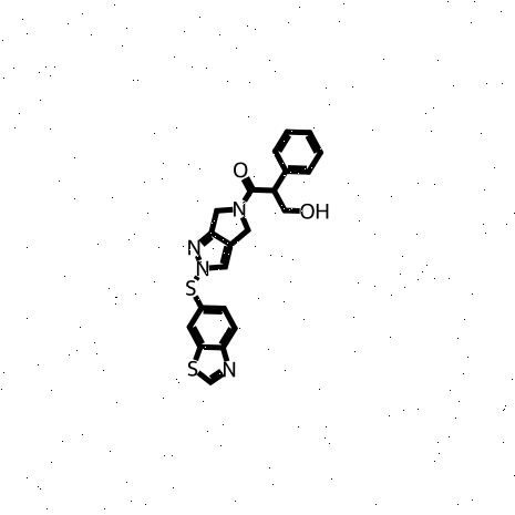 O=C(C(CO)c1ccccc1)N1Cc2cn(Sc3ccc4ncsc4c3)nc2C1